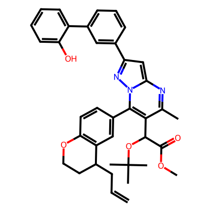 C=CCC1CCOc2ccc(-c3c(C(OC(C)(C)C)C(=O)OC)c(C)nc4cc(-c5cccc(-c6ccccc6O)c5)nn34)cc21